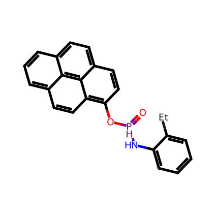 CCc1ccccc1N[PH](=O)Oc1ccc2ccc3cccc4ccc1c2c34